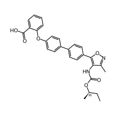 CC[C@@H](C)OC(=O)Nc1c(C)noc1-c1ccc(-c2ccc(Oc3ccccc3C(=O)O)cc2)cc1